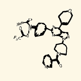 CNC(=O)N(OC(=O)C(F)(F)F)c1ccc(-c2nc(C3=CCOCC3)c3cnn(C4CCN(C(=O)c5cccnc5)CC4)c3n2)cc1